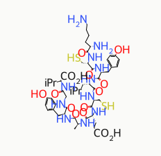 CC(C)C[C@H](NC(=O)[C@H](Cc1ccc(O)cc1)NC(=O)[C@H](CS)NC(=O)[C@@H](N)CCCCN)C(=O)N[C@@H](CS)C(=O)N[C@H](CCC(=O)O)C(=O)N[C@@H](C)C(=O)N[C@@H](Cc1ccc(O)cc1)C(=O)NCC(=O)N[C@H](C(=O)O)C(C)C